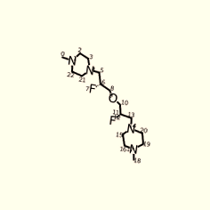 CN1CCN(C[C@@H](F)COC[C@H](F)CN2CCN(C)CC2)CC1